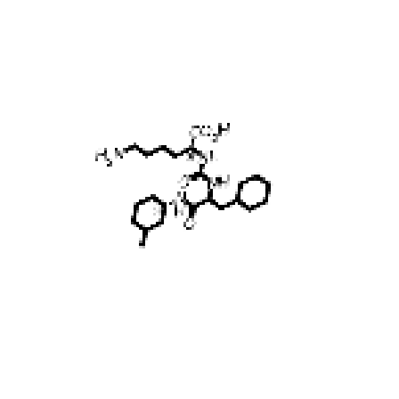 CC1CCC[C@H](NC(=O)C(CC2CCCCC2)NC(=O)N[C@@H](CCCCN)C(=O)O)C1